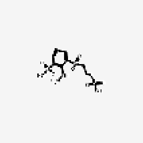 NNc1c(S(=O)(=O)O)cccc1S(=O)(=O)CCOS(=O)(=O)O